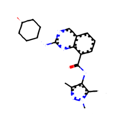 Cc1nn(C)c(C)c1NC(=O)c1cccc2cnc(N[C@H]3CC[C@H](O)CC3)nc12